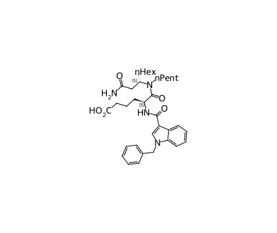 CCCCCC[C@@H](CC(N)=O)N(CCCCC)C(=O)[C@H](CCCC(=O)O)NC(=O)c1cn(Cc2ccccc2)c2ccccc12